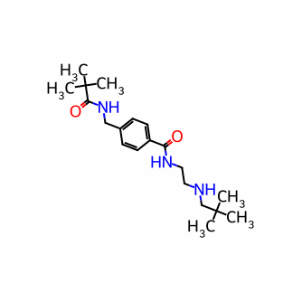 CC(C)(C)CNCCNC(=O)c1ccc(CNC(=O)C(C)(C)C)cc1